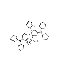 CC1(C)c2cc(N(c3ccccc3)c3ccccc3)ccc2-c2c1cc(N(c1ccccc1)c1ccccc1)c1sc3ccccc3c21